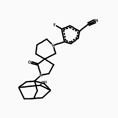 N#Cc1ccc(N2CCCC3(CCN(C45CC6CC(C4)C(O)C(C6)C5)C3=O)C2)c(F)c1